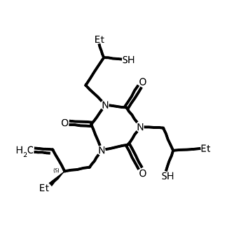 C=C[C@H](CC)Cn1c(=O)n(CC(S)CC)c(=O)n(CC(S)CC)c1=O